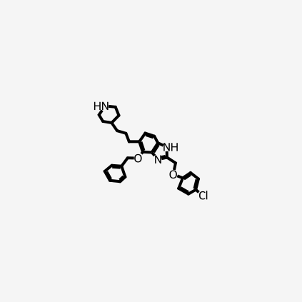 Clc1ccc(OCc2nc3c(OCc4ccccc4)c(CCCC4CCNCC4)ccc3[nH]2)cc1